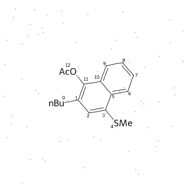 CCCCc1cc(SC)c2ccccc2c1OC(C)=O